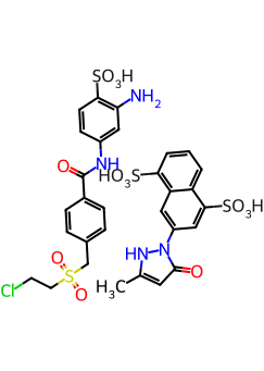 Cc1cc(=O)n(-c2cc(S(=O)(=O)O)c3cccc(S(=O)(=O)O)c3c2)[nH]1.Nc1cc(NC(=O)c2ccc(CS(=O)(=O)CCCl)cc2)ccc1S(=O)(=O)O